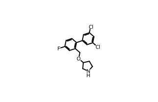 Fc1ccc(-c2cc(Cl)cc(Cl)c2)c(COC2CCNC2)c1